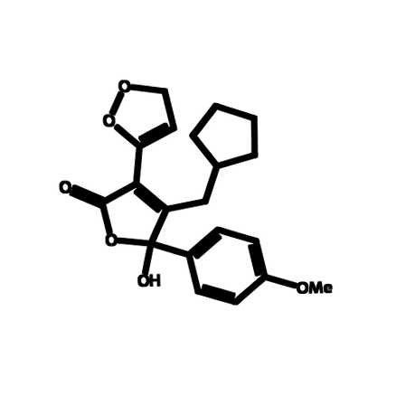 COc1ccc(C2(O)OC(=O)C(C3=CCOO3)=C2CC2CCCC2)cc1